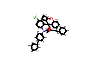 Brc1ccc2c(c1)C1(c3ccccc3Oc3ccccc31)c1cc(-c3ccccc3)ccc1N2c1ccc(-c2ccccc2)cc1